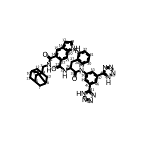 O=C(NCC12CC3CC(CC(C3)C1)C2)c1cc2cc[nH]c2cc1C(=O)NC(Cc1ccccc1F)C(=O)Nc1cc(-c2nnn[nH]2)cc(-c2nnn[nH]2)c1